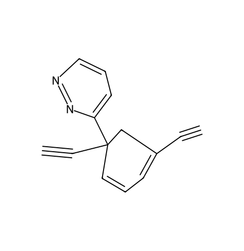 C#CC1=CC=CC(C#C)(c2cccnn2)C1